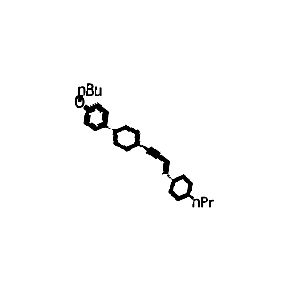 CCCCOc1ccc([C@H]2CC[C@H](C#CC=C[C@H]3CC[C@H](CCC)CC3)CC2)cc1